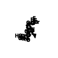 CC1Cc2c(n3ncc(CC4CC4)c3n(-c3ccc(C(=O)N(C)COP(=O)(O)O)cc3)c2=O)CN1C(=O)c1ccc(Br)c(C(F)(F)F)c1